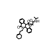 CC(C)NC(=O)COc1ccccc1C1C(C(=O)O)c2ccccc2C(=O)N1CCC1=CCCCC1